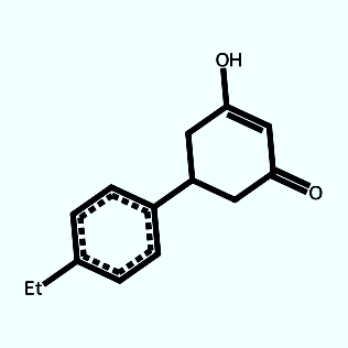 CCc1ccc(C2CC(=O)C=C(O)C2)cc1